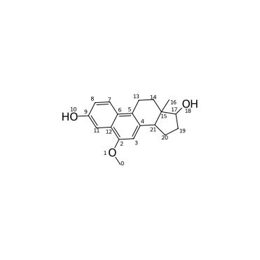 COc1cc2c(c3ccc(O)cc13)CCC1(C)C(O)CCC21